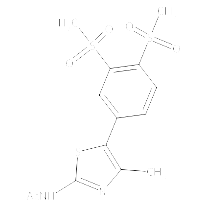 CC(=O)Nc1nc(C)c(-c2ccc(S(C)(=O)=O)c(S(C)(=O)=O)c2)s1